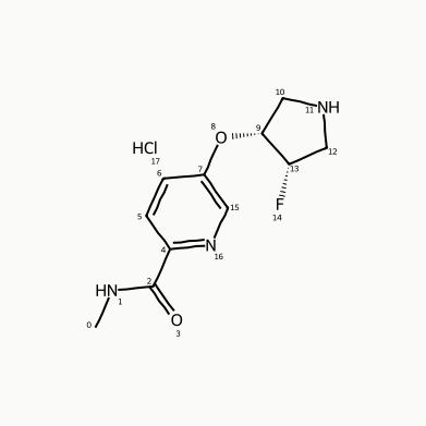 CNC(=O)c1ccc(O[C@@H]2CNC[C@@H]2F)cn1.Cl